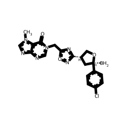 B[C@]1(c2ccc(Cl)cc2)C[C@H](c2noc(Cn3cnc4ncn(C)c4c3=O)n2)CO1